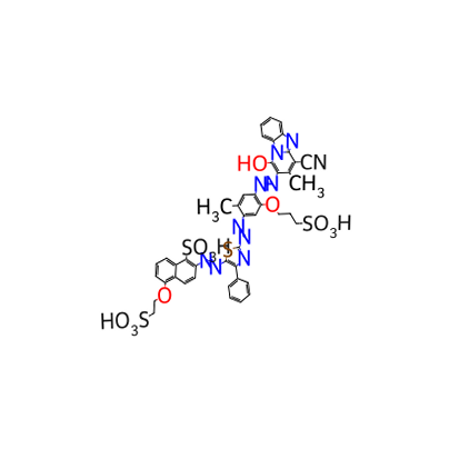 Cc1cc(N=Nc2c(C)c(C#N)c3nc4ccccc4n3c2O)c(OCCCS(=O)(=O)O)cc1N=Nc1nc(-c2ccccc2)c(N=Nc2ccc3c(OCCS(=O)(=O)O)cccc3c2S(=O)(=O)O)s1